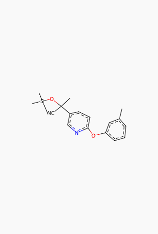 Cc1cccc(Oc2ccc(C(C)(C#N)O[Si](C)(C)C)cn2)c1